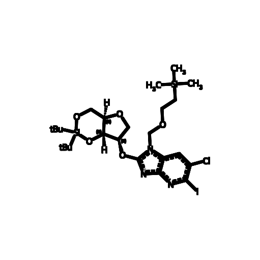 CC(C)(C)[Si]1(C(C)(C)C)OC[C@H]2OC[C@@H](Oc3nc4nc(I)c(Cl)cc4n3COCC[Si](C)(C)C)[C@@H]2O1